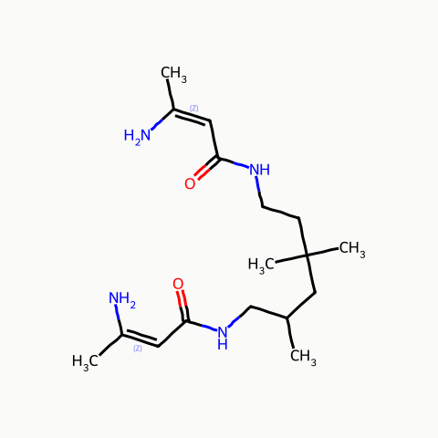 C/C(N)=C/C(=O)NCCC(C)(C)CC(C)CNC(=O)/C=C(/C)N